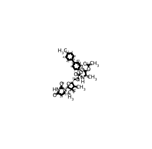 Cc1ccc(-c2ccc(OP(=O)(N[C@@H](C)C(=O)OC(C)C)OC[C@H]3O[C@@H](n4ccc(=O)[nH]c4=O)[C@](C)(F)C3C)cc2)cc1